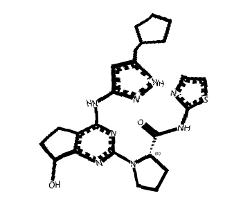 O=C(Nc1nccs1)[C@@H]1CCCN1c1nc(Nc2cc(C3CCCC3)[nH]n2)c2c(n1)C(O)CC2